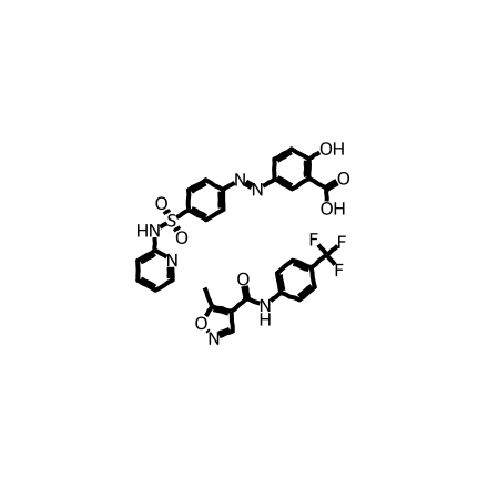 Cc1oncc1C(=O)Nc1ccc(C(F)(F)F)cc1.O=C(O)c1cc(/N=N/c2ccc(S(=O)(=O)Nc3ccccn3)cc2)ccc1O